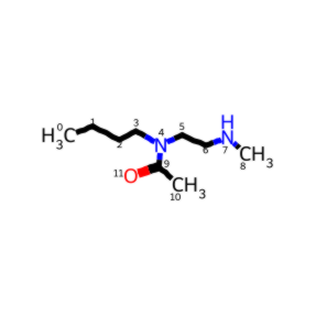 CCCCN(CCNC)C(C)=O